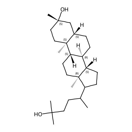 CC(CCC(C)(C)O)C1CC[C@H]2[C@@H]3CC[C@H]4C[C@@](C)(O)CC[C@]4(C)[C@H]3CC[C@]12C